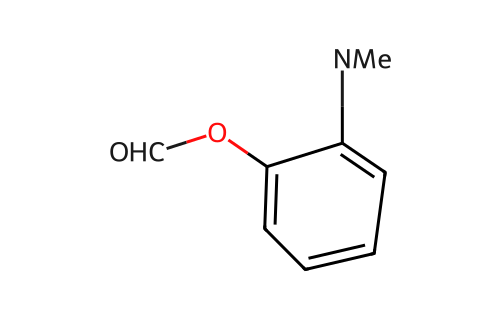 CNc1ccccc1OC=O